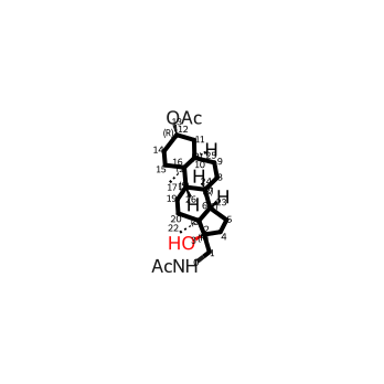 CC(=O)NC[C@@]1(O)CC[C@H]2[C@@H]3CC[C@@H]4C[C@H](OC(C)=O)CC[C@]4(C)[C@H]3CC[C@@]21C